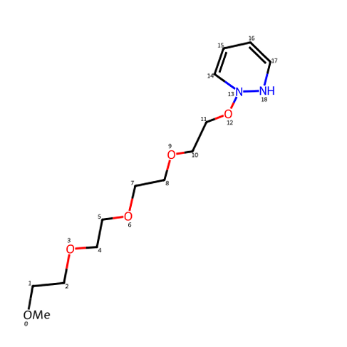 COCCOCCOCCOCCON1C=CC=CN1